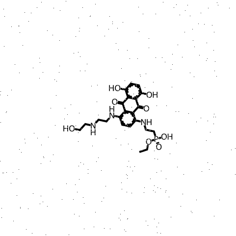 CCOP(=O)(O)CCNc1ccc(NCCNCCO)c2c1C(=O)c1c(O)ccc(O)c1C2=O